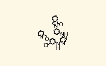 O=c1c2ccccc2sn1-c1cccc(Nc2cc(Nc3ccc(OCc4ccccn4)c(Cl)c3)ncn2)c1